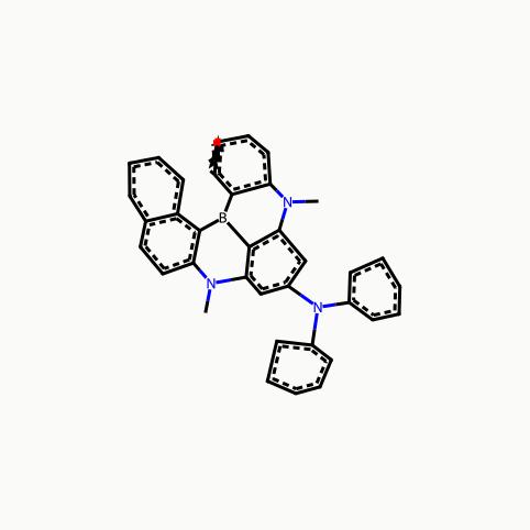 CN1c2cc(N(c3ccccc3)c3ccccc3)cc3c2B(c2c1ccc1ccccc21)c1c(ccc2ccccc12)N3C